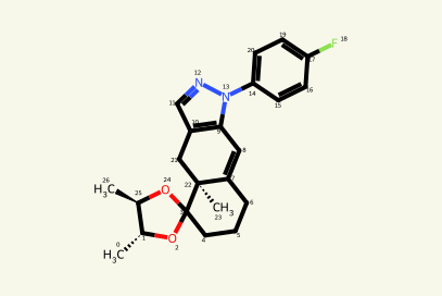 C[C@H]1OC2(CCCC3=Cc4c(cnn4-c4ccc(F)cc4)C[C@@]32C)O[C@@H]1C